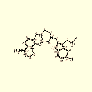 CN(C)Cc1c(CN2CCN(Cc3ccc4c(N)ncnc4c3)C(=O)C2)[nH]c2ccc(Cl)cc12